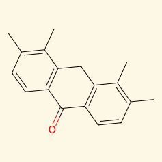 Cc1ccc2c(c1C)Cc1c(ccc(C)c1C)C2=O